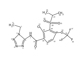 CCn1nnnc1NC(=O)c1ccc(OC(F)(F)F)c(S(=O)(=O)C(C)C)c1Cl